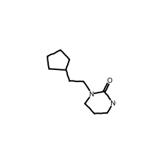 O=C1[N]CCCN1CCC1CCCC1